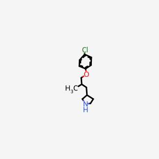 CC(COc1ccc(Cl)cc1)CC1CCNC1